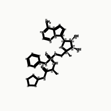 C[C@H](NP(=O)(OC[C@@]1(C)O[C@@H](c2ccc3c(N)ncnn23)[C@H](O)[C@@H]1O)Oc1ccccc1)C(=O)OC1CCCC1